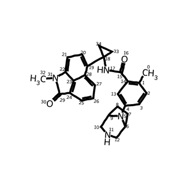 Cc1ccc(N2C3CCC2CNC3)cc1C(=O)NC1(c2ccc3c4c(cccc24)C(=O)N3C)CC1